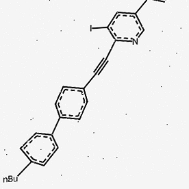 CCCCc1ccc(-c2ccc(C#Cc3ncc(N=C=S)cc3I)cc2)cc1